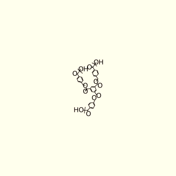 CC(C)(O)C(=O)c1ccc(COC(=O)c2cc(C(=O)OCc3ccc(C(=O)C(C)(C)O)cc3)cc(C(=O)OCc3ccc(C(=O)C(C)(C)O)cc3)c2)cc1